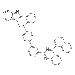 c1cc(-c2ccc(-c3nc4c(nc5ccccn54)c4ccccc34)cc2)cc(-c2nc(-c3cccc4ccccc34)c3ccccc3n2)c1